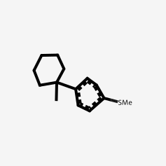 CSc1ccc(C2(C)CCCCC2)cc1